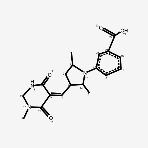 CC1CC(/C=C2\C(=O)NCN(C)C2=O)C(C)N1c1cccc(C(=O)O)c1